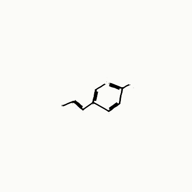 CCc1ccc(/C=C/I)cn1